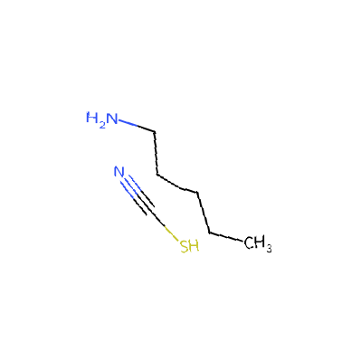 CCCCCN.N#CS